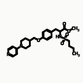 CCCCS(=O)(=O)NC(Cc1ccc(OCC2CCN(c3ccncc3)CC2)cc1)C(=O)OC